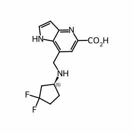 O=C(O)c1cc(CN[C@H]2CCC(F)(F)C2)c2[nH]ccc2n1